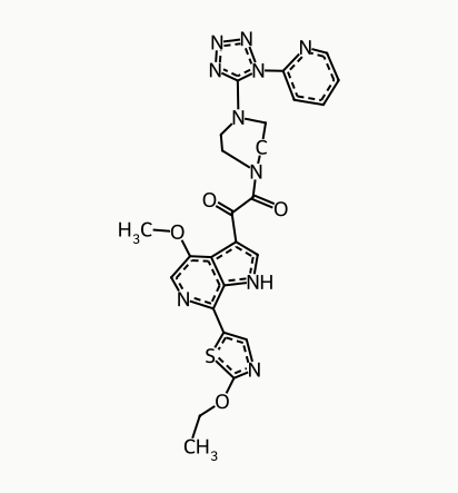 CCOc1ncc(-c2ncc(OC)c3c(C(=O)C(=O)N4CCN(c5nnnn5-c5ccccn5)CC4)c[nH]c23)s1